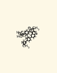 Cn1cc(-c2ccc(-c3ccc4ncc5c(c4c3)n(-c3ccc(C(C)(C)C(=O)O)cc3)c(=O)n5C)cn2)cn1